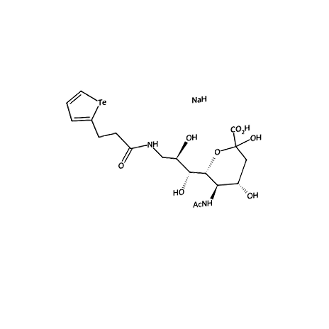 CC(=O)N[C@H]1[C@H]([C@H](O)[C@H](O)CNC(=O)CCc2ccc[te]2)OC(O)(C(=O)O)C[C@@H]1O.[NaH]